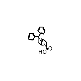 O=C(O)N1CC2CC1CN2C(c1ccccc1)c1ccccc1